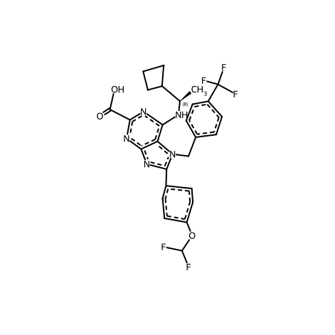 C[C@@H](Nc1nc(C(=O)O)nc2nc(-c3ccc(OC(F)F)cc3)n(Cc3ccc(C(F)(F)F)cc3)c12)C1CCC1